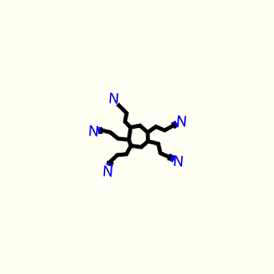 N#CCCC1CC(CCC#N)C(CCC#N)C(CCC#N)CC1CCC#N